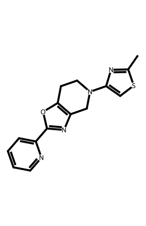 Cc1nc(N2CCc3oc(-c4ccccn4)nc3C2)cs1